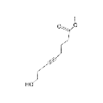 COC(=O)CCCC#CCCO